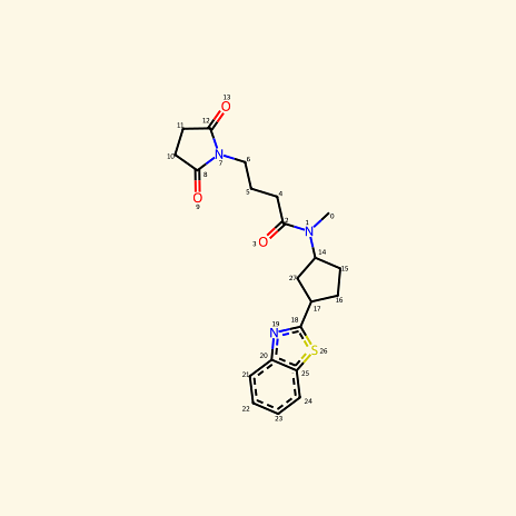 CN(C(=O)CCCN1C(=O)CCC1=O)C1CCC(c2nc3ccccc3s2)C1